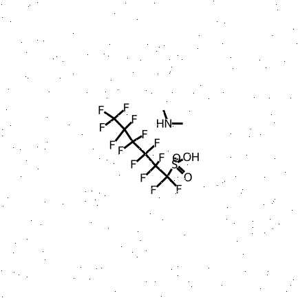 CNC.O=S(=O)(O)C(F)(F)C(F)(F)C(F)(F)C(F)(F)C(F)(F)C(F)(F)F